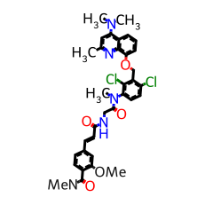 CNC(=O)c1ccc(C=CC(=O)NCC(=O)N(C)c2ccc(Cl)c(COc3cccc4c(N(C)C)cc(C)nc34)c2Cl)cc1OC